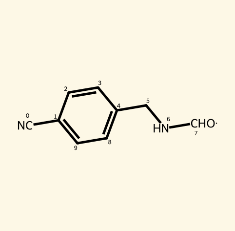 N#Cc1ccc(CN[C]=O)cc1